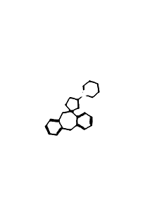 c1ccc2c(c1)Cc1ccccc1C1(CCC(N3CCCCC3)C1)C2